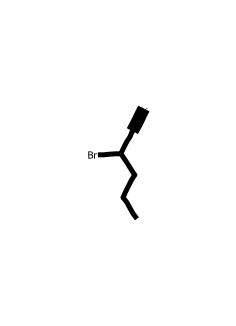 [C]#CC(Br)CCC